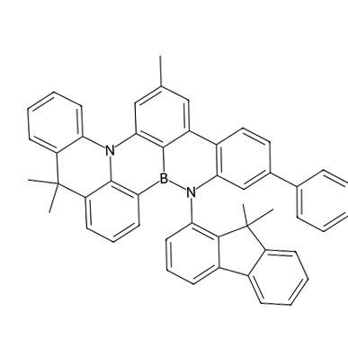 Cc1cc2c3c(c1)N1c4ccccc4C(C)(C)c4cccc(c41)B3N(c1cccc3c1C(C)(C)c1ccccc1-3)c1cc(-c3ccccc3)ccc1-2